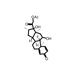 CC(=O)OCC(=O)[C@@]1(O)[C@@H](C)C[C@H]2[C@@H]3CCC4=CC(=O)C=C[C@]4(C)[C@@]3(F)C(O)C[C@@]21C